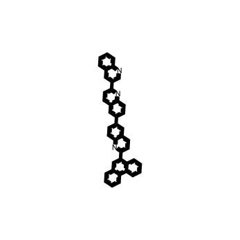 c1ccc2ncc(-c3ccc4cc(-c5ccc6nc(-c7cc8ccccc8c8ccccc78)ccc6c5)ccc4n3)cc2c1